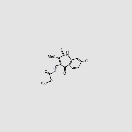 COc1c(/C=C/C(=O)OC(C)(C)C)c(=O)c2ccc(Cl)cc2[nH]c1=O